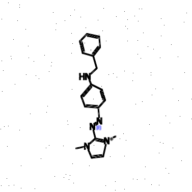 Cn1cc[n+](C)c1/N=N/c1ccc(NCc2ccccc2)cc1